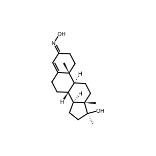 C[C@]12CC/C(=N\O)C=C1CC[C@@H]1[C@@H]2CC[C@@]2(C)[C@H]1CC[C@]2(C)O